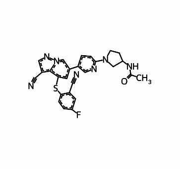 CC(=O)NC1CCN(c2ccc(-c3cc(Sc4ccc(F)cc4C#N)c4c(C#N)cnn4c3)cn2)C1